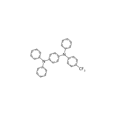 FC(F)(F)c1ccc(N(c2ccccc2)c2ccc(N(c3ccccc3)c3ccccc3)cc2)cc1